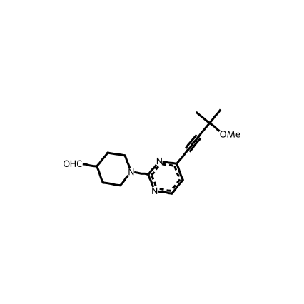 COC(C)(C)C#Cc1ccnc(N2CCC(C=O)CC2)n1